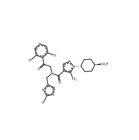 O=C(CN(Cc1csc(Cl)n1)C(=O)c1cnn([C@H]2CC[C@H](C(=O)O)CC2)c1C(F)(F)F)c1c(Cl)cncc1Cl